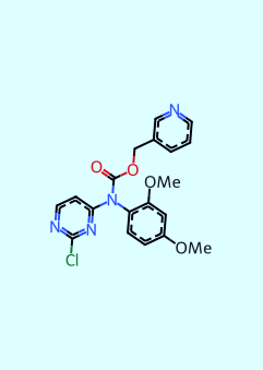 COc1ccc(N(C(=O)OCc2cccnc2)c2ccnc(Cl)n2)c(OC)c1